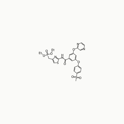 CCOP(=O)(Cc1csc(NC(=O)c2cc(Oc3ccc(S(C)(=O)=O)cc3)cc(Oc3cnccn3)c2)n1)OCC